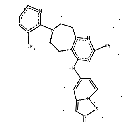 CC(C)c1nc2c(c(NC3=CC4=CNSN4C=C3)n1)CCN(c1ncccc1C(F)(F)F)CC2